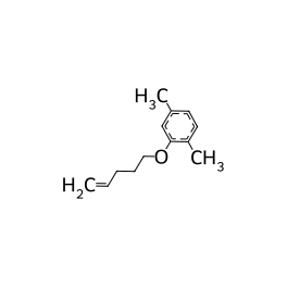 C=CCCCOc1cc(C)ccc1C